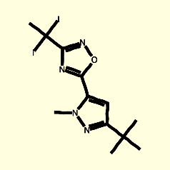 Cn1nc(C(C)(C)C)cc1-c1nc(C(C)(I)I)no1